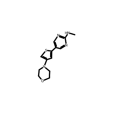 CNc1ncc(-c2cc(N3CCOCC3)cs2)cn1